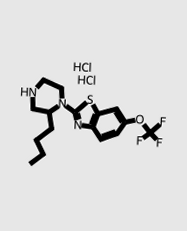 CCCCC1CNCCN1c1nc2ccc(OC(F)(F)F)cc2s1.Cl.Cl